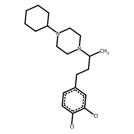 CC(CCc1ccc(Cl)c(Cl)c1)N1CCN(C2CCCCC2)CC1